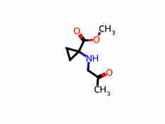 COC(=O)C1(NCC(C)=O)CC1